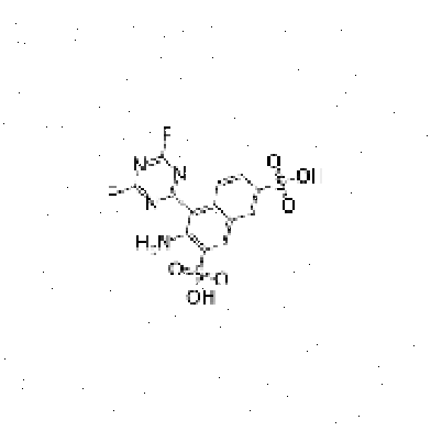 Nc1c(S(=O)(=O)O)cc2cc(S(=O)(=O)O)ccc2c1-c1nc(F)nc(F)n1